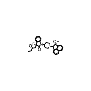 CCC(=O)C[C@]1(F)C(=O)N(C2CCN(C3c4cccc5cccc(c45)[C@H]3O)CC2)c2ccccc21